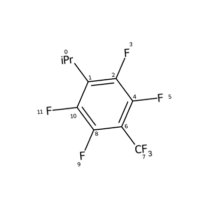 CC(C)c1c(F)c(F)c(C(F)(F)F)c(F)c1F